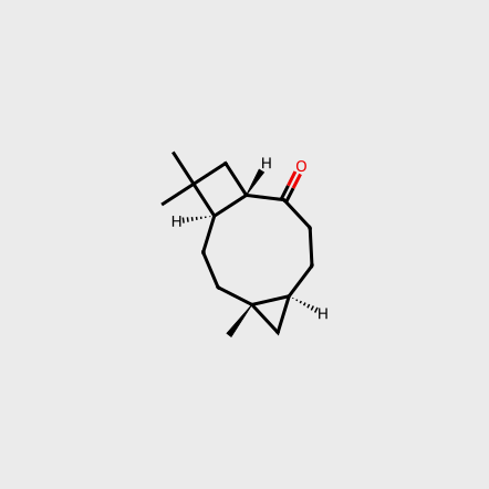 CC1(C)C[C@@H]2C(=O)CC[C@H]3C[C@]3(C)CC[C@H]21